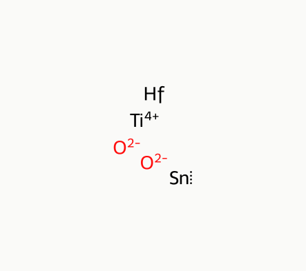 [Hf].[O-2].[O-2].[Sn].[Ti+4]